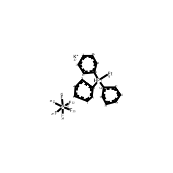 CC[PH](c1ccccc1)(c1ccccc1)c1ccccc1.F[P-](F)(F)(F)(F)F.[K+]